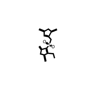 C=C1C=C(CS(=O)(=O)C2=C(CC)C(=C)CC2=C)C(=C)C1